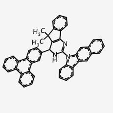 CC1(C)C2=C(N=C(n3c4ccccc4c4cc5ccccc5cc43)NC2c2ccc3c4ccccc4c4ccccc4c3c2)c2ccccc21